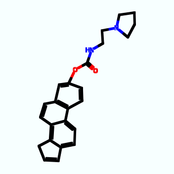 O=C(NCCN1CCCC1)Oc1ccc2c(ccc3c4c(ccc32)C=CC4)c1